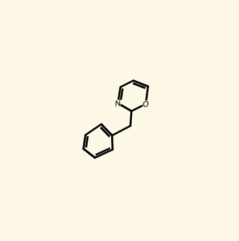 C1=COC(Cc2ccccc2)N=C1